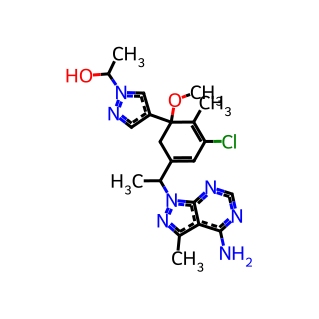 COC1(c2cnn(C(C)O)c2)CC(C(C)n2nc(C)c3c(N)ncnc32)=CC(Cl)=C1C